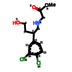 COC(=O)CNCC(CCO)c1ccc(Cl)c(Cl)c1